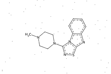 CN1CCN(c2nsc3nc4ccccc4n23)CC1